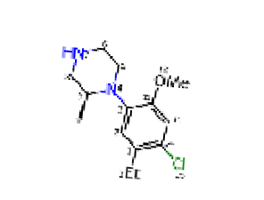 CCc1cc(N2CCNC[C@@H]2C)c(OC)cc1Cl